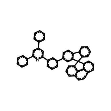 c1ccc(-c2cc(-c3ccccc3)nc(-c3cccc(-c4ccc5c(c4)C4(c6ccccc6-5)c5cccc6ccc7cccc4c7c56)c3)c2)cc1